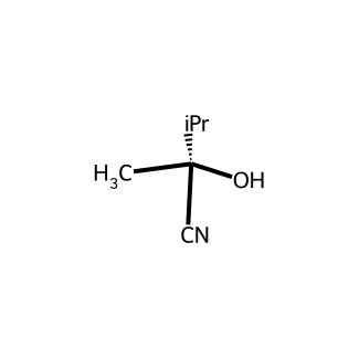 CC(C)[C@](C)(O)C#N